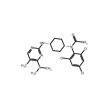 Cc1cnc(N[C@H]2CC[C@@H](N(C(N)=O)c3c(Cl)cc(Cl)cc3Cl)CC2)nc1N(C)C